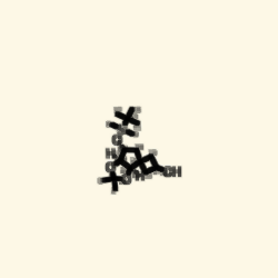 CC1(C)O[C@H]2[C@H](O[Si](C)(C)C(C)(C)C)CC3(CC(O)C3)[C@H]2O1